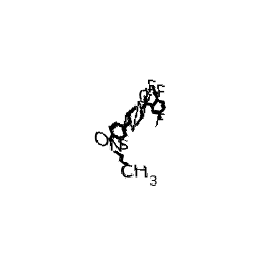 CCCCCn1sc2cc(N3CCN(C(=O)c4cc(F)ccc4C(F)(F)F)CC3)ccc2c1=O